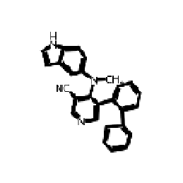 CN(c1ccc2[nH]ccc2c1)c1c(C#N)cncc1-c1ccccc1-c1ccccc1